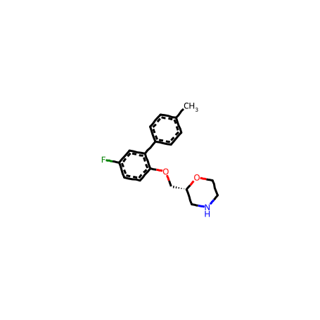 Cc1ccc(-c2cc(F)ccc2OC[C@H]2CNCCO2)cc1